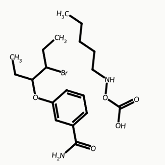 CCC(Br)C(CC)Oc1cccc(C(N)=O)c1.CCCCCNOC(=O)O